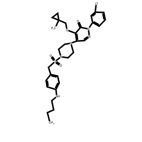 CCCCNc1ccc(CS(=O)(=O)N2CCN(c3cnn(-c4cccc(Cl)c4)c(=O)c3OCC3(C)CC3)CC2)cc1